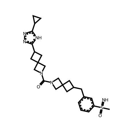 CS(=N)(=O)c1cccc(CC2CC3(C2)CN(C(=O)N2CC4(CC(c5nnc(C6CC6)[nH]5)C4)C2)C3)c1